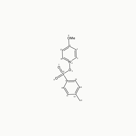 COc1cc[n+](OS(=O)(=O)c2ccc(C)cc2)cc1